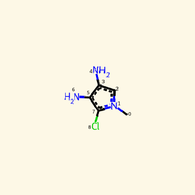 Cn1cc(N)c(N)c1Cl